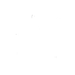 Cc1cc(C)c(CC=O)c(C)c1Br